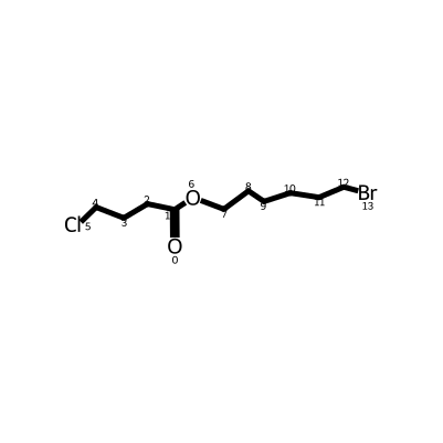 O=C(CCCCl)OCCCCCCBr